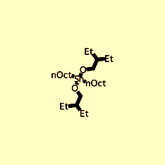 CCCCCCC[CH2][Sn]([CH2]CCCCCCC)([O]CC(CC)CC)[O]CC(CC)CC